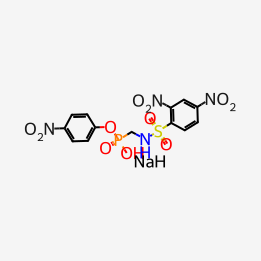 O=[N+]([O-])c1ccc(OP(=O)(O)CNS(=O)(=O)c2ccc([N+](=O)[O-])cc2[N+](=O)[O-])cc1.[NaH]